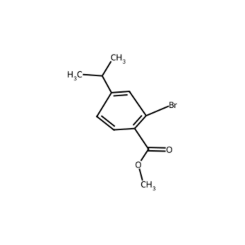 COC(=O)c1ccc(C(C)C)cc1Br